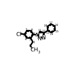 CCCc1cc(Cl)ccc1-n1cc(-c2ccccc2)nn1